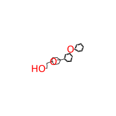 OCCC12CCC(c3cccc(Oc4ccccc4)c3)(CC1)CO2